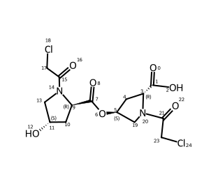 O=C(O)[C@H]1C[C@H](OC(=O)[C@H]2C[C@H](O)CN2C(=O)CCl)CN1C(=O)CCl